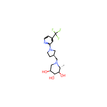 C[C@@H]1[C@@H](O)[C@H](O)[C@@H](O)CN1C[C@H]1CCN(c2cc(C(F)(F)F)ccn2)C1